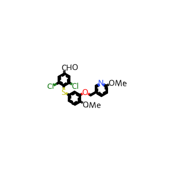 COc1ccc(COc2cc(Sc3c(Cl)cc(C=O)cc3Cl)ccc2OC)cn1